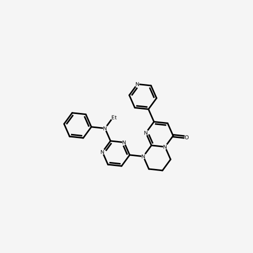 CCN(c1ccccc1)c1nccc(N2CCCn3c2nc(-c2ccncc2)cc3=O)n1